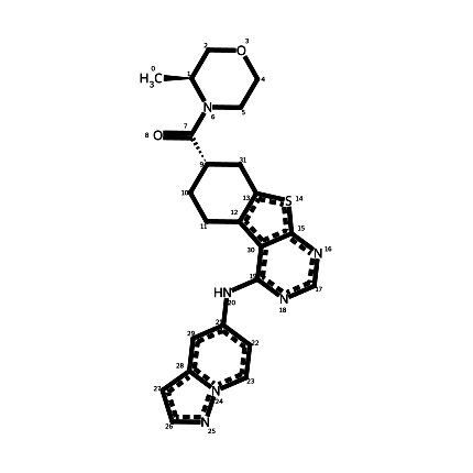 C[C@H]1COCCN1C(=O)[C@H]1CCc2c(sc3ncnc(Nc4ccn5nccc5c4)c23)C1